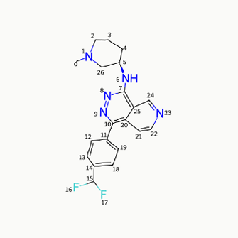 CN1CCC[C@@H](Nc2nnc(-c3ccc(C(F)F)cc3)c3ccncc23)C1